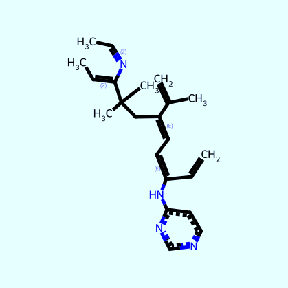 C=C/C(=C\C=C(/CC(C)(C)C(=C/C)/N=C\C)C(=C)C)Nc1ccncn1